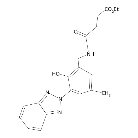 CCOC(=O)CCC(=O)NCc1cc(C)cc(-n2nc3ccccc3n2)c1O